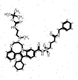 CN(CCNC(=O)OC(C)(C)C)[C@H]1COc2ccccc2-c2c(C3CCCCC3)c3ccc(C(=O)NS(=O)(=O)CCCC(=O)OCc4ccccc4)cc3n2C1